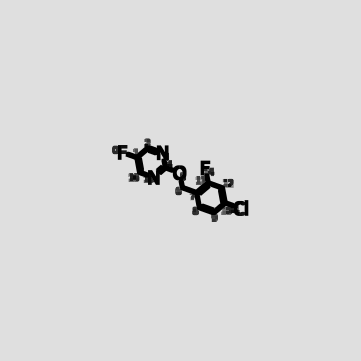 Fc1cnc(OCc2ccc(Cl)cc2F)nc1